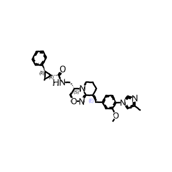 COc1cc(/C=C2\CCCN3C2=NOC[C@@H]3CNC(=O)[C@@H]2C[C@H]2c2ccccc2)ccc1-n1cnc(C)c1